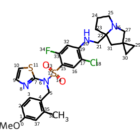 COc1ccc(CN(c2nccs2)S(=O)(=O)c2cc(Cl)c(NCC34CCCN3CC3(CC3)C4)cc2F)c(C)c1